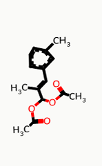 CC(=O)OC(OC(C)=O)/C(C)=C/c1cccc(C)c1